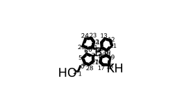 CCO.[KH].c1ccc([B-](c2ccccc2)(c2ccccc2)c2ccccc2)cc1